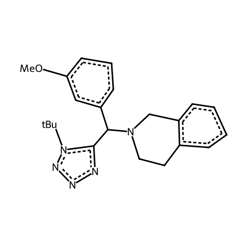 COc1cccc(C(c2nnnn2C(C)(C)C)N2CCc3ccccc3C2)c1